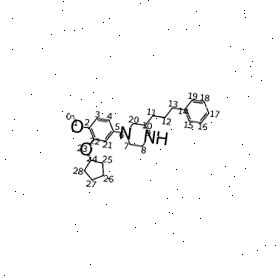 COc1ccc(N2CCNC(CCCc3ccccc3)C2)cc1OC1CCCC1